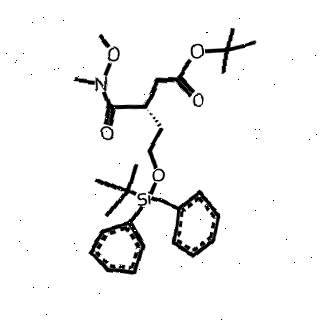 CON(C)C(=O)[C@@H](CCO[Si](c1ccccc1)(c1ccccc1)C(C)(C)C)CC(=O)OC(C)(C)C